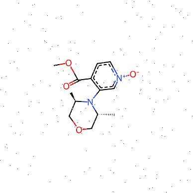 COC(=O)c1cc[n+]([O-])cc1N1[C@H](C)COC[C@H]1C